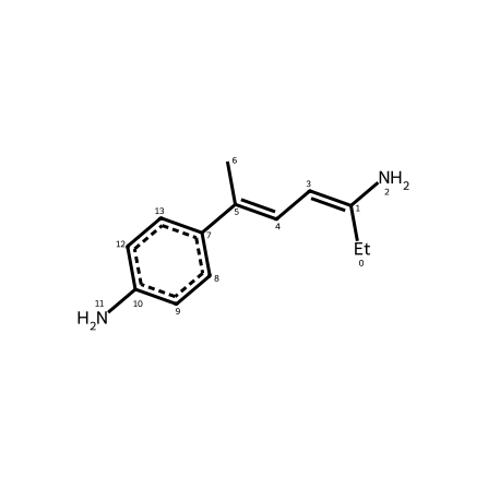 CC/C(N)=C\C=C(/C)c1ccc(N)cc1